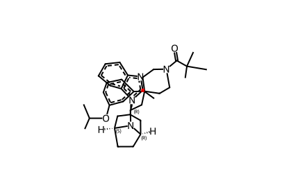 Cc1nc2ccccc2n1[C@H]1C[C@H]2CC[C@@H](C1)N2CCC1(c2cccc(OC(C)C)c2)CCN(C(=O)C(C)(C)C)CC1